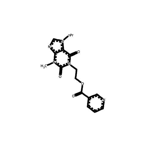 CCCn1cnc2c1c(=O)n(CCOC(=O)c1cccnc1)c(=O)n2C